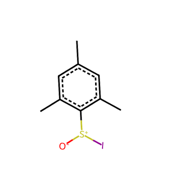 Cc1cc(C)c([S+]([O-])I)c(C)c1